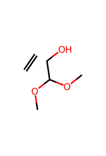 C=C.COC(CO)OC